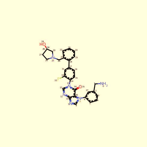 NCc1cccc(-n2cnc3ncn(-c4ccc(-c5ccccc5CN5CC[C@@H](O)C5)cc4F)c(=O)c32)c1